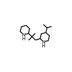 CC(C)C1CCNC(CC(C)(C)C2CCCCN2)C1